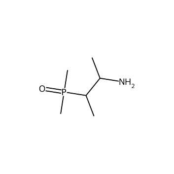 CC(N)C(C)P(C)(C)=O